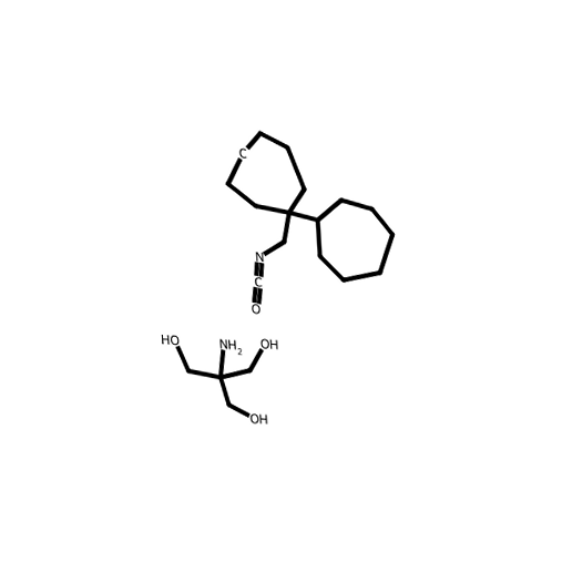 NC(CO)(CO)CO.O=C=NCC1(C2CCCCCC2)CCCCCC1